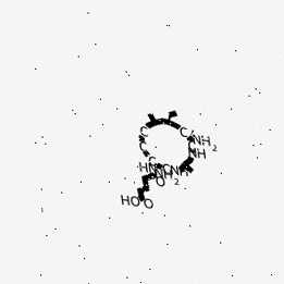 CC[C@H]1CC[C@@](C)(N)CNCC(C)CNC[C@](N)(NC(=O)CCCC(=O)O)CCCCCCC(C)C1